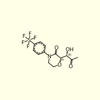 CC(=O)[C@H](O)[C@H]1OCCN(c2ccc(S(F)(F)(F)(F)F)cc2)C1=O